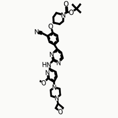 COc1nc(Nc2nccc(-c3ccc(OC4CCN(C(=O)OC(C)(C)C)CC4)c(C#N)c3)n2)ccc1N1CCN(C2COC2)CC1